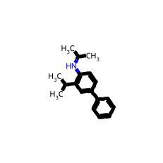 CC(C)Nc1ccc(-c2ccccc2)cc1C(C)C